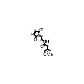 COCC(C)CC(=O)NCCN1C(=O)C=CC1=O